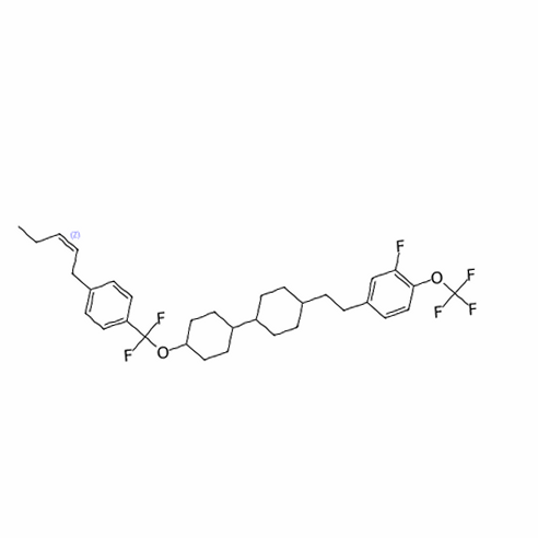 CC/C=C\Cc1ccc(C(F)(F)OC2CCC(C3CCC(CCc4ccc(OC(F)(F)F)c(F)c4)CC3)CC2)cc1